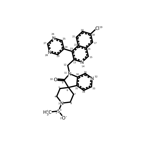 C[S+]([O-])N1CCC2(CC1)C(=O)N(Cc1ncc3cc(Cl)ccc3c1-c1cncnc1)c1cnccc12